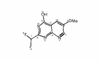 COc1cnc2nc(C(F)F)nc(O)c2c1